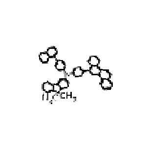 CC1(C)c2ccccc2-c2cc(N(c3ccc(-c4cccc5ccccc45)cc3)c3ccc(-c4cc5c6ccccc6ccc5c5ccccc45)cc3)ccc21